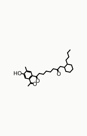 CCCCC1CCCCC1CC(=O)CCCCCC(=O)c1cc(C)c(O)cc1C(C)=O